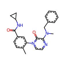 Cc1ccc(C(=O)NC2CC2)cc1-n1ccnc(N(C)Cc2ccccc2)c1=O